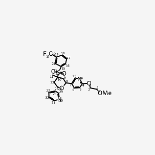 COCCOc1ccc(C2CC(C)(S(=O)(=O)c3cccc(C(F)(F)F)c3)CCO2)cn1.c1ccncc1